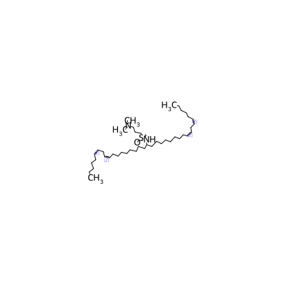 CCCCC/C=C\C/C=C\CCCCCCCCC(CCCCCCCC/C=C\C/C=C\CCCCC)N[S+]([O-])CCCN(C)C